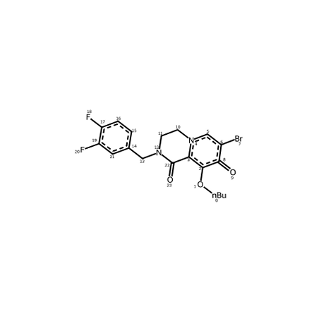 CCCCOc1c2n(cc(Br)c1=O)CCN(Cc1ccc(F)c(F)c1)C2=O